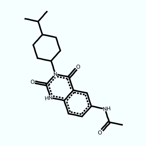 CC(=O)Nc1ccc2[nH]c(=O)n(C3CCC(C(C)C)CC3)c(=O)c2c1